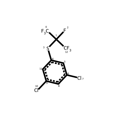 FC(F)(F)C(F)(Sc1cc(Cl)[c]c(Cl)c1)C(F)(F)F